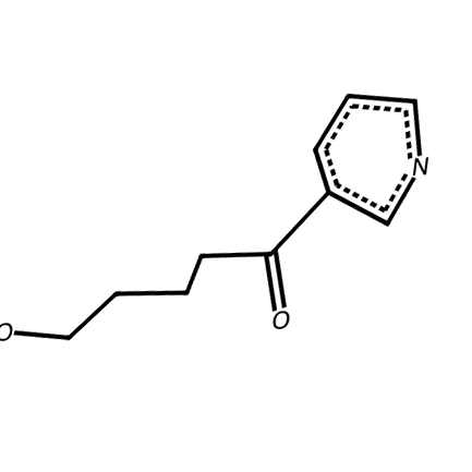 O=C(CCCCO)c1cccnc1